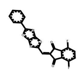 O=C1C(=Cc2nc3oc(-c4ccccc4)nc3s2)C(=O)c2c(F)ccc(F)c21